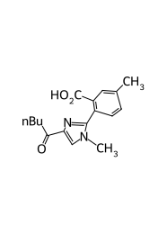 CCCCC(=O)c1cn(C)c(-c2ccc(C)cc2C(=O)O)n1